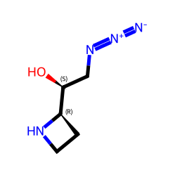 [N-]=[N+]=NC[C@H](O)[C@H]1CCN1